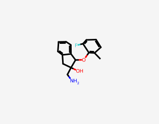 Cc1cccc(F)c1OC1c2ccccc2CC1(O)CN